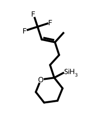 CC(=CC(F)(F)F)CCC1([SiH3])CCCCO1